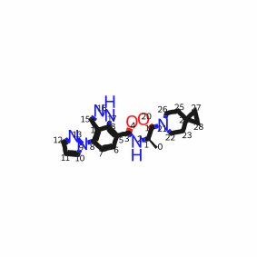 C[C@@H](NC(=O)c1ccc(-n2cccn2)c2cn[nH]c12)C(=O)N1CCC2(CC1)CC2